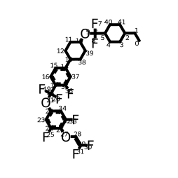 CCC1CCC(C(F)(F)OC2CCC(c3ccc(C(F)(F)Oc4cc(F)c(OC=C(F)F)c(F)c4)c(F)c3)CC2)CC1